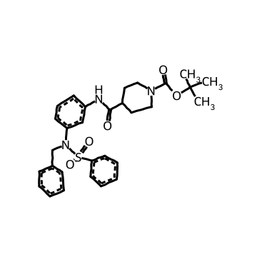 CC(C)(C)OC(=O)N1CCC(C(=O)Nc2cccc(N(Cc3ccccc3)S(=O)(=O)c3ccccc3)c2)CC1